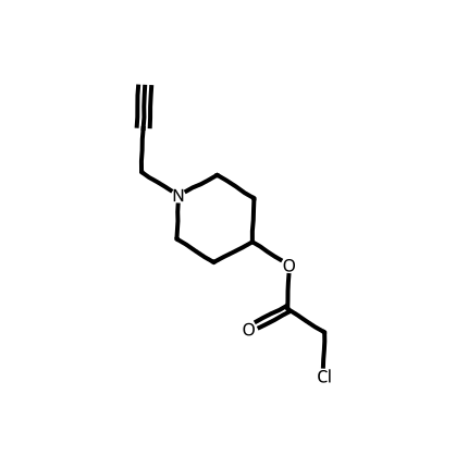 C#CCN1CCC(OC(=O)CCl)CC1